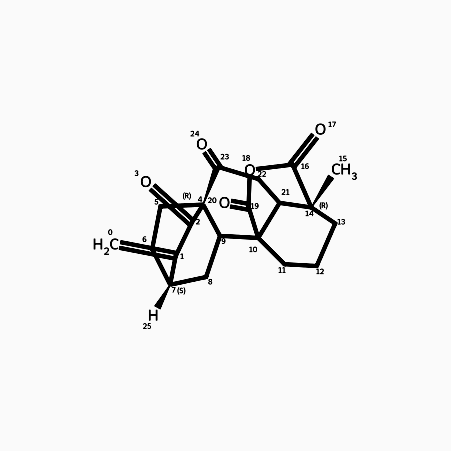 C=C1C(=O)[C@]23CC[C@H]1CC2C12CCC[C@@](C)(C(=O)OC1=O)C2CC3=O